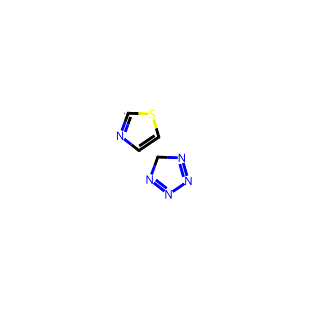 C1N=NN=N1.[c]1nccs1